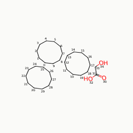 C1CCCCCCCCC1.C1CCCCCCCCC1.C1CCCCCCCCC1.O=C(O)CO